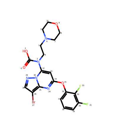 O=C(O)N(CCN1CCOCC1)c1cc(Oc2cccc(F)c2F)nc2c(Br)cnn12